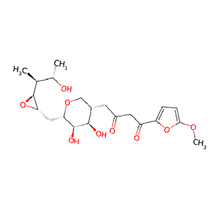 COc1ccc(C(=O)CC(=O)C[C@H]2CO[C@@H](C[C@@H]3O[C@H]3[C@@H](C)[C@H](C)O)[C@H](O)[C@@H]2O)o1